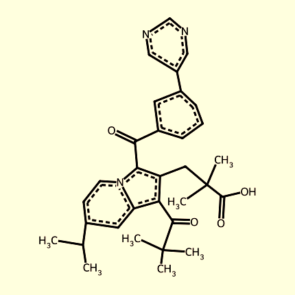 CC(C)c1ccn2c(C(=O)c3cccc(-c4cncnc4)c3)c(CC(C)(C)C(=O)O)c(C(=O)C(C)(C)C)c2c1